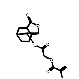 C=C(C)C(=O)OCC(=O)OC1C2CCC3C(C2)C(=O)OC31